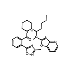 CCCCC([C@@H]1CCCCN1C(=O)c1ccccc1-c1nc(C)no1)N(C)c1nc2ncccc2o1